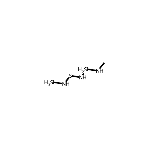 CN[SiH2]NSN[SiH3]